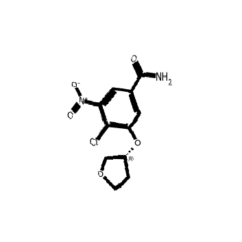 NC(=O)c1cc(O[C@@H]2CCOC2)c(Cl)c([N+](=O)[O-])c1